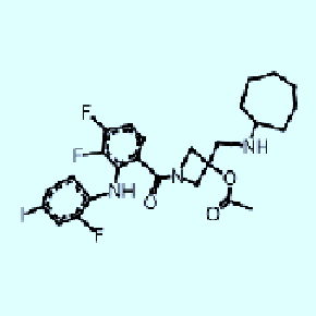 CC(=O)OC1(CNC2CCCCCC2)CN(C(=O)c2ccc(F)c(F)c2Nc2ccc(I)cc2F)C1